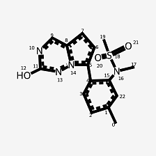 Cc1ccc(-c2ccc3cnc(O)nn23)c(N(C)S(C)(=O)=O)c1